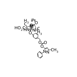 Cc1cc(OC(=O)OCc2ccc(OP(=O)(N[C@@H](C)C(=O)OC(C)C)NC(C)(C(=O)O)C(C)C)cc2)n(-c2ccccc2)n1